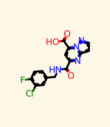 O=C(NCc1ccc(F)c(Cl)c1)c1cc(C(=O)O)n2nccc2n1